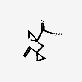 C=CC1(CC2(C(=O)OC)CO2)CC1